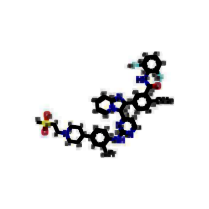 CCCc1cc(C2CCN(CCS(C)(=O)=O)CC2)ccc1Nc1nccc(C2C(c3ccc(OC)c(C(=O)Nc4c(F)cccc4F)c3)N=C3C=CC=CN32)n1